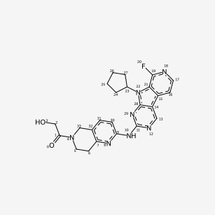 O=C(CO)N1CCc2nc(Nc3ncc4c5ccnc(F)c5n(C5CCCC5)c4n3)ccc2C1